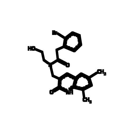 Cc1cc(C)c2[nH]c(=O)c(CN(CCO)C(=O)Cc3ccccc3Br)cc2c1